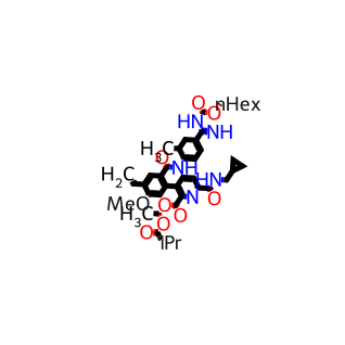 C=Cc1cc(C(=O)NC2=CC=C(C(=N)NC(=O)OCCCCCC)CC2C)c(-c2ccc(C(=O)NCC3CC3)nc2C(=O)OC(C)OC(=O)C(C)C)cc1OC